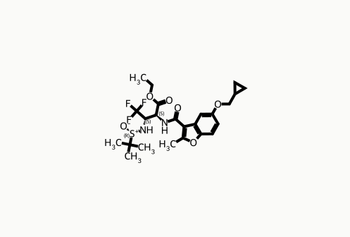 CCOC(=O)[C@@H](NC(=O)c1c(C)oc2ccc(OCC3CC3)cc12)[C@H](N[S@@+]([O-])C(C)(C)C)C(F)(F)F